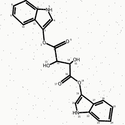 O=C(Oc1c[nH]c2ccccc12)C(O)C(O)C(=O)Oc1c[nH]c2ccccc12